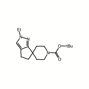 CCn1cc2c(n1)C1(CC2)CCN(C(=O)OC(C)(C)C)CC1